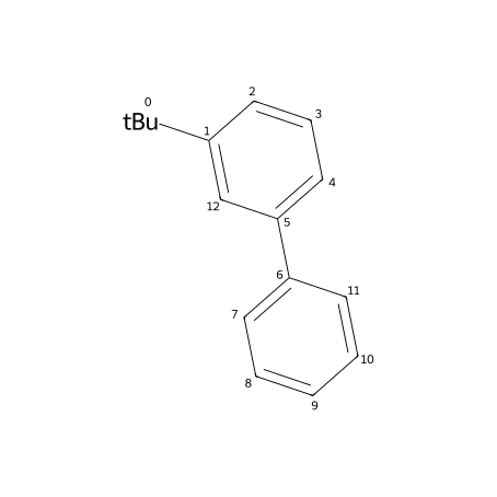 CC(C)(C)c1cccc(-c2ccccc2)c1